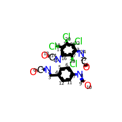 O=C=NCc1ccc(N=C=O)cc1.O=C=Nc1c(Cl)c(Cl)c(Cl)c(N=C=O)c1Cl